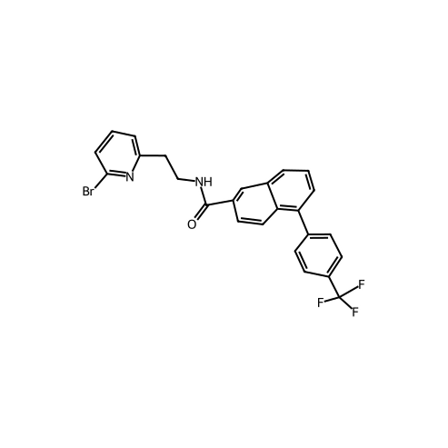 O=C(NCCc1cccc(Br)n1)c1ccc2c(-c3ccc(C(F)(F)F)cc3)cccc2c1